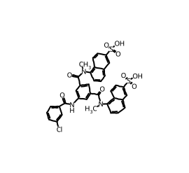 CN(C(=O)c1cc(NC(=O)c2cccc(Cl)c2)cc(C(=O)N(C)c2cccc3cc(S(=O)(=O)O)ccc23)c1)c1cccc2cc(S(=O)(=O)O)ccc12